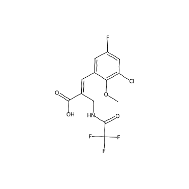 COc1c(Cl)cc(F)cc1C=C(CNC(=O)C(F)(F)F)C(=O)O